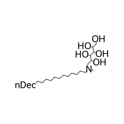 CCCCCCCCCCCCCCCCCCCCCCN(C)CC(O)C(O)C(O)C(O)CO